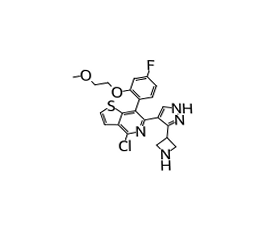 COCCOc1cc(F)ccc1-c1c(-c2c[nH]nc2C2CNC2)nc(Cl)c2ccsc12